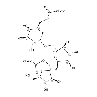 CCCCCCCC(=O)OC[C@H]1OC(OC[C@H]2OC(O[C@]3(COC(=O)CCCCCCC)O[C@H](CO)[C@@H](O)[C@@H]3O)[C@H](O)[C@@H](O)[C@@H]2O)[C@H](O)[C@@H](O)[C@H]1O